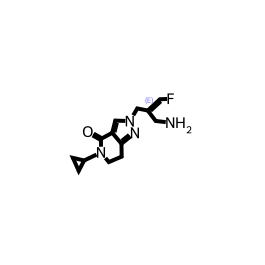 NC/C(=C\F)Cn1cc2c(n1)CCN(C1CC1)C2=O